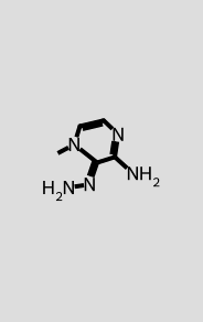 Cn1ccnc(N)/c1=N/N